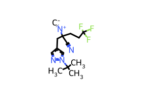 [C-]#[N+]C(C#N)(CCC(F)(F)F)Cc1cnn(C(C)(C)C)c1